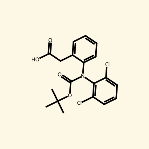 CC(C)(C)OC(=O)N(c1ccccc1CC(=O)O)c1c(Cl)cccc1Cl